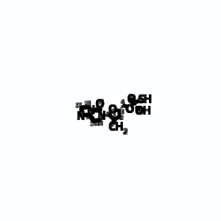 C=C1C[C@@H](COP(=O)(O)S)O[C@H]1n1ccc2nccn2c1=O